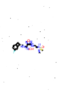 CN=S(C)(=O)NCCNc1nonc1/C(=N\O)NC[C@H]1Cc2ccc(F)cc21